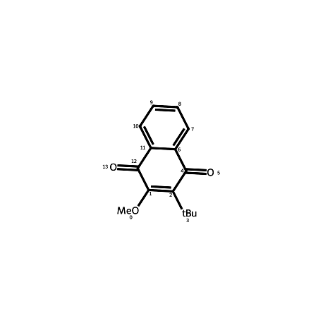 COC1=C(C(C)(C)C)C(=O)c2ccccc2C1=O